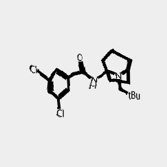 CC(C)(C)CN1C2CCCC1(NC(=O)c1cc(Cl)cc(Cl)c1)CC2